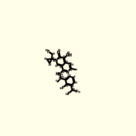 Cc1nc(N[C@H](C)c2cccc(C(F)F)c2F)c2cn(C3(CF)CC3)c(=O)c(O)c2n1